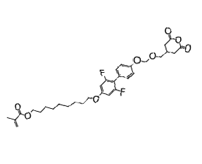 C=C(C)C(=O)OCCCCCCCCCOc1cc(F)c(-c2ccc(OCOCC3CC(=O)OC(=O)C3)cc2)c(F)c1